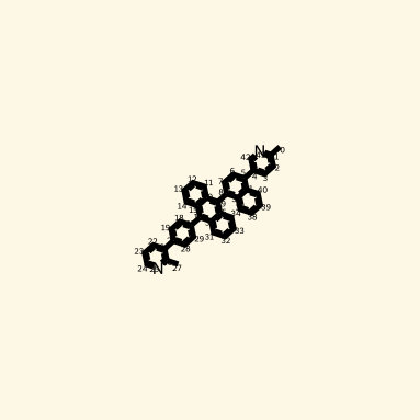 Cc1ccc(-c2ccc(-c3c4ccccc4c(-c4ccc(-c5cccnc5C)cc4)c4ccccc34)c3ccccc23)cn1